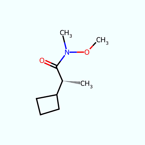 CON(C)C(=O)[C@H](C)C1CCC1